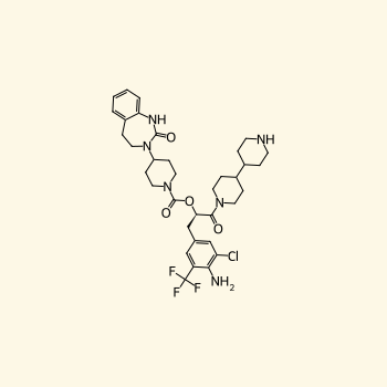 Nc1c(Cl)cc(C[C@@H](OC(=O)N2CCC(N3CCc4ccccc4NC3=O)CC2)C(=O)N2CCC(C3CCNCC3)CC2)cc1C(F)(F)F